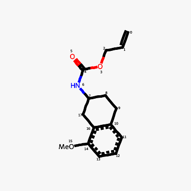 C=CCOC(=O)NC1CCc2cccc(OC)c2C1